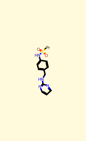 CC(C)S(=O)(=O)Nc1ccc(CNc2ncccn2)cc1